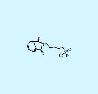 C=C1c2ccccc2C(=O)N1CCCCCS(=O)(=O)Cl